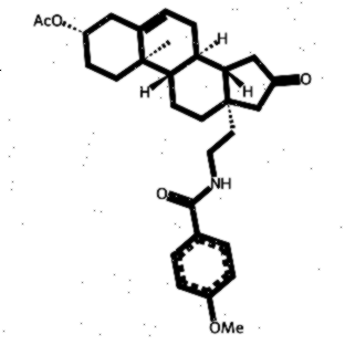 COc1ccc(C(=O)NCC[C@]23CC[C@H]4[C@@H](CC=C5C[C@@H](OC(C)=O)CC[C@@]54C)[C@@H]2CC(=O)C3)cc1